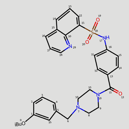 CC(C)COc1cccc(CN2CCN(C(=O)c3ccc(NS(=O)(=O)c4cccc5cccnc45)cc3)CC2)c1